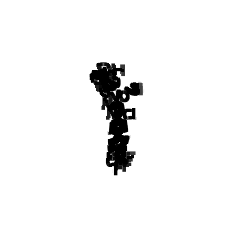 C[Si](C)(C)CCOCn1c(O[C@@H]2CO[C@H]3[C@@H]2OC[C@H]3O)nc2nc(-c3ccc(C4=CCS(=O)(=NC(=O)C(F)(F)F)CC4)cc3)c(Cl)cc21